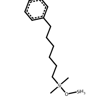 C[Si](C)(CCCCCCc1ccccc1)O[SiH3]